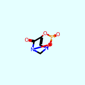 O=C1C2=CN3CN1OP(=O)(O2)O3